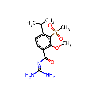 COc1c(C(=O)N=C(N)N)ccc(C(C)C)c1S(C)(=O)=O